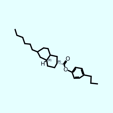 CCCCCCC1CCC2C[C@H](C(=O)Oc3ccc(CCC)cc3)CC[C@@H]2C1